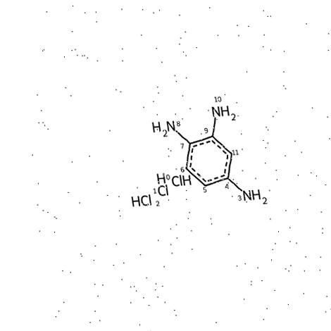 Cl.Cl.Cl.Nc1ccc(N)c(N)c1